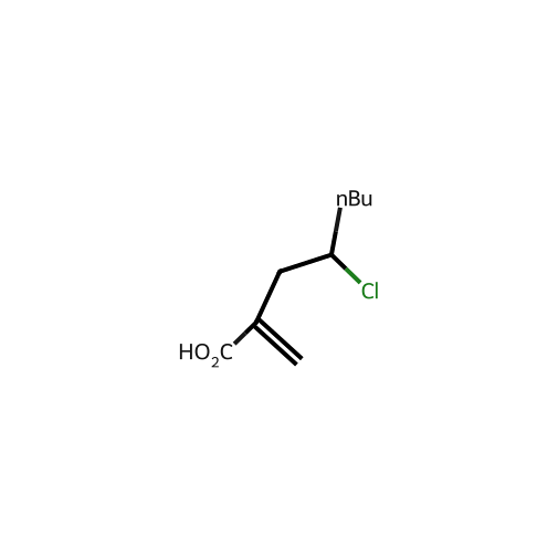 C=C(CC(Cl)CCCC)C(=O)O